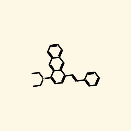 CCN(CC)c1ccc(C=Cc2ccccc2)c2cc3ccccc3cc12